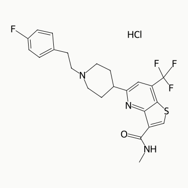 CNC(=O)c1csc2c(C(F)(F)F)cc(C3CCN(CCc4ccc(F)cc4)CC3)nc12.Cl